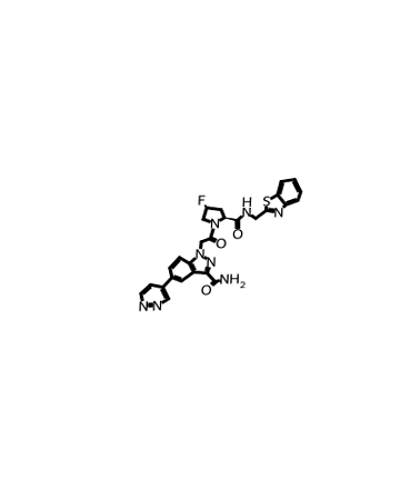 NC(=O)c1nn(CC(=O)N2C[C@H](F)C[C@H]2C(=O)NCc2nc3ccccc3s2)c2ccc(-c3ccnnc3)cc12